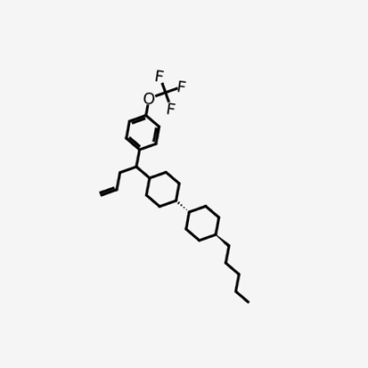 C=CCC(c1ccc(OC(F)(F)F)cc1)C1CCC([C@H]2CC[C@H](CCCCC)CC2)CC1